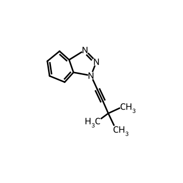 CC(C)(C)C#Cn1nnc2ccccc21